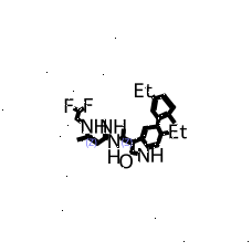 CCc1ccc(C)c(C2C=C3C(=CC2CC)NC(=O)/C3=C(/C)NC(=N)/C=C(/C)NCC(F)F)c1